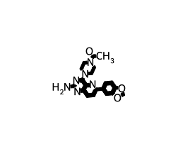 CC(=O)N1CCN(c2nc(N)nc3ccc(-c4ccc5c(c4)OCO5)nc23)CC1